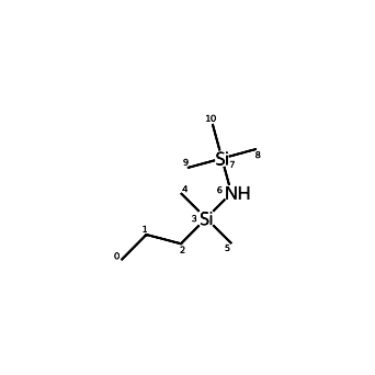 CCC[Si](C)(C)N[Si](C)(C)C